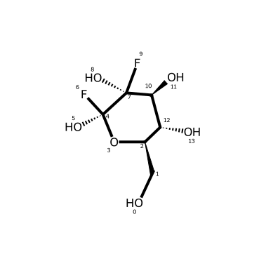 OC[C@H]1O[C@@](O)(F)[C@@](O)(F)[C@@H](O)[C@@H]1O